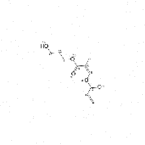 C=CC(=O)OC=C(C)C(=O)OCCCO